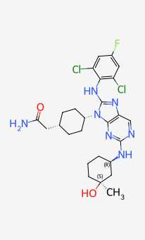 C[C@]1(O)CCC[C@@H](Nc2ncc3nc(Nc4c(Cl)cc(F)cc4Cl)n([C@H]4CC[C@@H](CC(N)=O)CC4)c3n2)C1